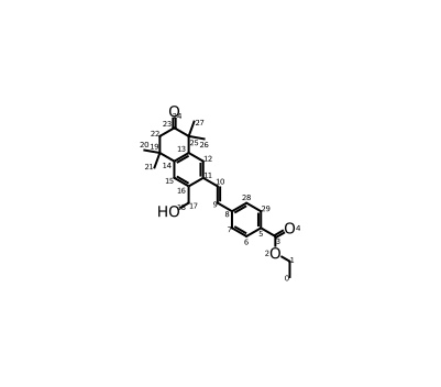 CCOC(=O)c1ccc(/C=C/c2cc3c(cc2CO)C(C)(C)CC(=O)C3(C)C)cc1